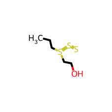 CCCS(CCO)=S=S